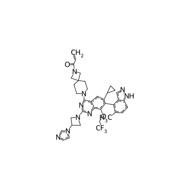 C=CC(=O)N1CC2(CCN(c3nc(N4CC(n5ccnc5)C4)nc4c(OCC(F)(F)F)c(-c5c(C)ccc6[nH]ncc56)c(C5CC5)cc34)CC2)C1